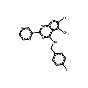 Cc1sc2nc(-c3cnccn3)nc(NCc3ccc(F)cc3)c2c1C